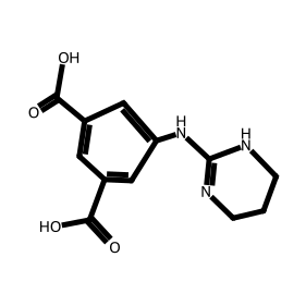 O=C(O)c1cc(NC2=NCCCN2)cc(C(=O)O)c1